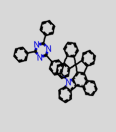 c1ccc(-c2nc(-c3ccccc3)nc(-c3ccc(-n4c5ccccc5c5c6ccccc6c6c(c54)C4(c5ccccc5-c5ccccc54)c4ccccc4-6)cc3)n2)cc1